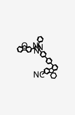 N#Cc1ccc2c(c1)C1(CCCCC1)c1cccc(-c3ccc(-c4ccc(-c5nc(-c6ccccc6)nc(-c6ccc7c(c6)oc6ccccc67)n5)cc4)cc3)c1-2